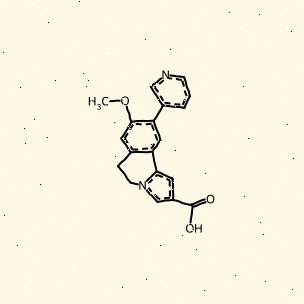 COc1cc2c(cc1-c1cccnc1)-c1cc(C(=O)O)cn1CC2